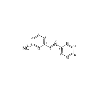 N#Cc1cccc(/C=N/c2ccccc2)c1